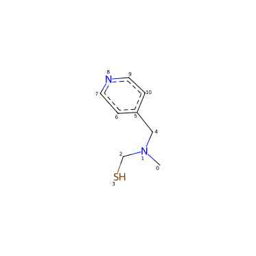 CN(CS)Cc1ccncc1